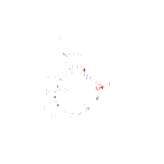 CO[C@@H]1C[C@H](C[C@@H](C)[C@@H]2CC(=O)[C@H](C)/C=C(\C)[C@@H](O)[C@@H](OC)C(=O)[C@H](C)C[C@H](C)/C=C/C=C/C=C(\C)C(OCCOC3COC3)C[C@@H]3CC[C@@H](C)[C@@](O)(O3)C(=O)C(=O)N3CCCC[C@H]3C(=O)O2)CC[C@H]1OCCCO